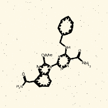 COc1nc2c(C(N)=O)cccc2n1-c1nnc(C(N)=O)c(NCc2ccccc2)n1